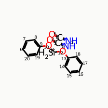 N=C=O.N=C=O.c1ccc(O[SiH2]Oc2ccccc2)cc1